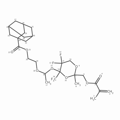 C=C(C)C(=O)OCC1(C)OCC(F)(F)C(OC(C)OCCOC(=O)C23CC4CC(CC(C4)C2)C3)(C(F)(F)F)O1